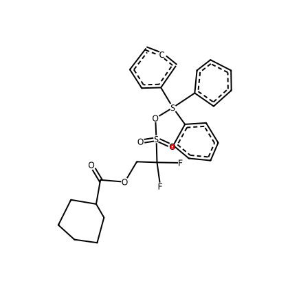 O=C(OCC(F)(F)S(=O)(=O)OS(c1ccccc1)(c1ccccc1)c1ccccc1)C1CCCCC1